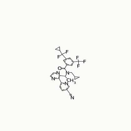 CC(c1nccnc1-c1ccc(C#N)cn1)N(CC1CC1)C(=O)c1cc(C(F)(F)F)cc(C(F)(F)C2CC2)c1